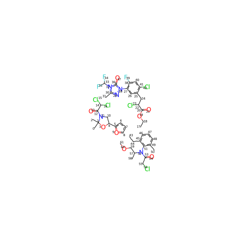 CC1(C)OC(c2ccco2)CN1C(=O)C(Cl)Cl.CCOC(=O)C(Cl)Cc1cc(-n2nc(C)n(C(F)F)c2=O)c(F)cc1Cl.CCc1cccc(C)c1N(C(=O)CCl)C(C)COC